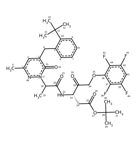 Cc1cc(Cc2ccccc2C(C)(C)C)c(=O)n(C(C)C(=O)N[C@@H](CC(=O)OC(C)(C)C)C(=O)COc2c(F)c(F)cc(F)c2F)n1